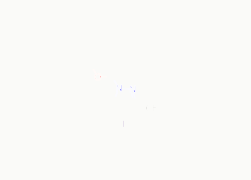 FC(F)(F)c1nn(C2CCCCO2)cc1I